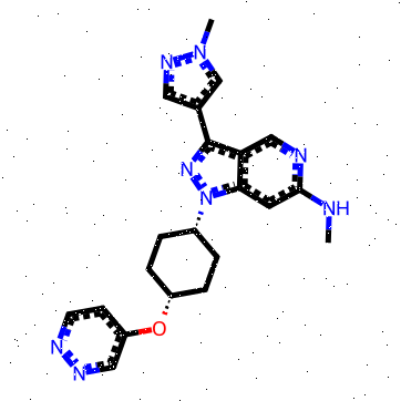 CNc1cc2c(cn1)c(-c1cnn(C)c1)nn2[C@H]1CC[C@@H](Oc2ccnnc2)CC1